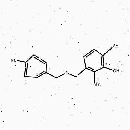 CCCc1c(CSCc2ccc(C#N)cc2)ccc(C(C)=O)c1O